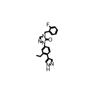 CCc1cc(-n2ncn(Cc3ccccc3F)c2=O)ccc1-c1cn[nH]c1